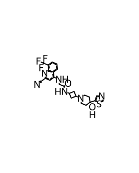 N#Cc1cc(NCC(=O)NC2CC(N3CCC(O)(c4cncs4)CC3)C2)c2cccc(C(F)(F)F)c2n1